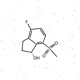 CS(=O)(=O)c1ccc(F)c2c1[C@H](O)CC2